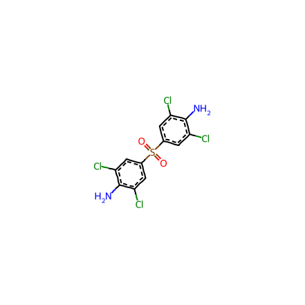 Nc1c(Cl)cc(S(=O)(=O)c2cc(Cl)c(N)c(Cl)c2)cc1Cl